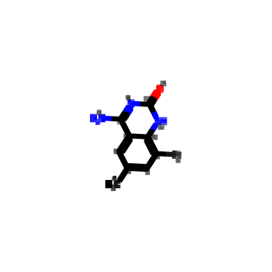 CCc1cc(C)cc2c(N)nc(=O)[nH]c12